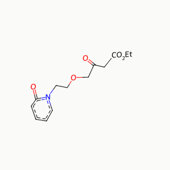 CCOC(=O)CC(=O)COCCn1ccccc1=O